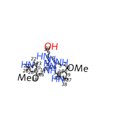 COC(CCNc1nc(NCCO)nc(NCCC(OC)C2CC(C)(C)NC(C)(C)C2)n1)C1CC(C)(C)NC(C)(C)C1